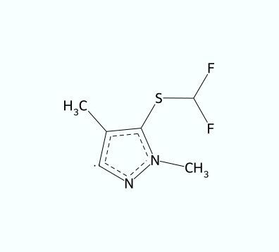 Cc1[c]nn(C)c1SC(F)F